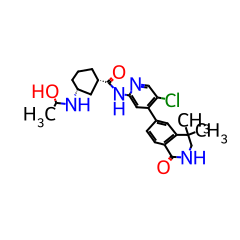 CC(O)N[C@@H]1CCC[C@H](C(=O)Nc2cc(-c3ccc4c(c3)C(C)(C)CNC4=O)c(Cl)cn2)C1